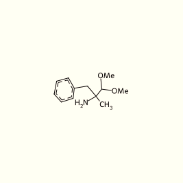 COC(OC)C(C)(N)Cc1ccccc1